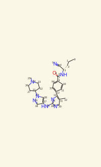 CCC[C@@H](C#N)NC(=O)c1ccc(-c2nc(Nc3cnn(C4CCN(C)CC4)c3)ncc2C)cc1